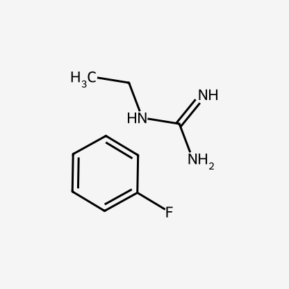 CCNC(=N)N.Fc1ccccc1